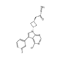 N=BC(=O)C[C@H]1C[C@H](n2cc(-c3cccc(F)c3)c3c(Cl)ncnc32)C1